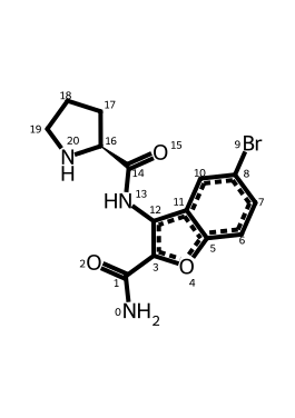 NC(=O)c1oc2ccc(Br)cc2c1NC(=O)[C@@H]1CCCN1